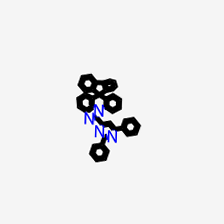 c1ccc(-c2cc(-c3nc4cccc5c4n3-c3ccccc3C53c4ccccc4-c4ccccc43)nc(-c3ccccc3)n2)cc1